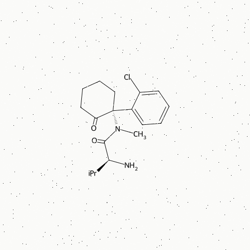 CC(C)[C@H](N)C(=O)N(C)[C@@]1(c2ccccc2Cl)CCCCC1=O